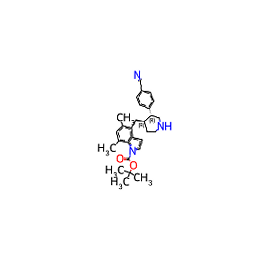 Cc1cc(C)c2c(ccn2C(=O)OC(C)(C)C)c1C[C@@H]1CCNC[C@H]1c1ccc(C#N)cc1